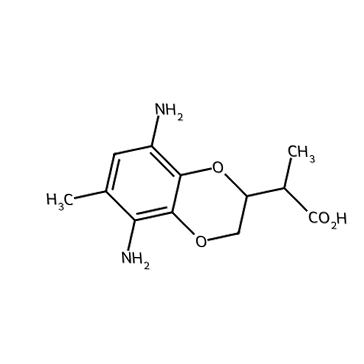 Cc1cc(N)c2c(c1N)OCC(C(C)C(=O)O)O2